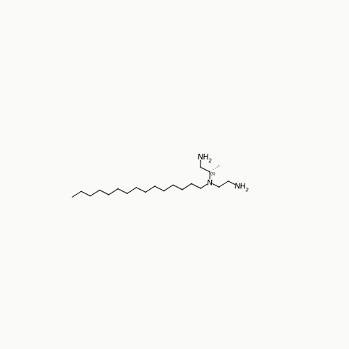 CCCCCCCCCCCCCCCN(CCN)[C@@H](C)CN